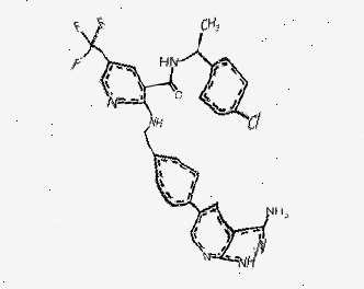 C[C@H](NC(=O)c1cc(C(F)(F)F)cnc1NCc1ccc(-c2cnc3[nH]nc(N)c3c2)cc1)c1ccc(Cl)cc1